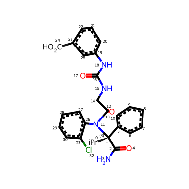 CC(C)[C@](C(N)=O)(c1ccccc1)N(C(=O)CNC(=O)Nc1cccc(C(=O)O)c1)c1ccccc1Cl